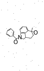 CC12OC1CC1CN(C(=O)c3ccccc3)c3cccc2c31